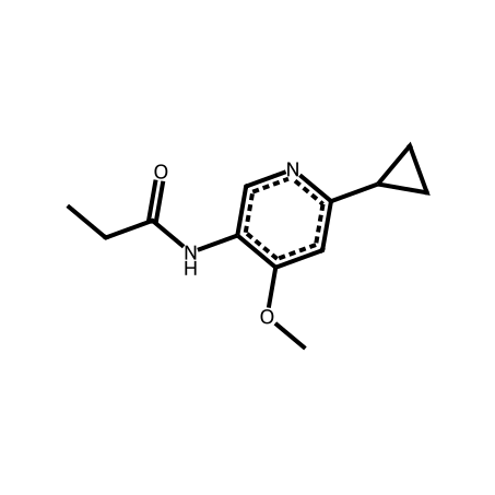 CCC(=O)Nc1cnc(C2CC2)cc1OC